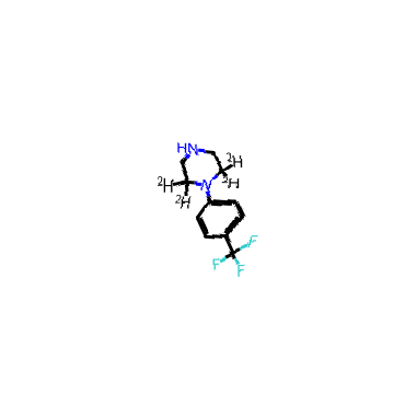 [2H]C1([2H])CNCC([2H])([2H])N1c1ccc(C(F)(F)F)cc1